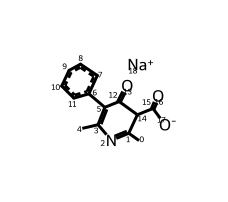 CC1=NC(C)=C(c2ccccc2)C(=O)C1C(=O)[O-].[Na+]